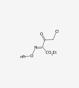 CCCO/N=C(/C(=O)CCl)C(=O)OCC